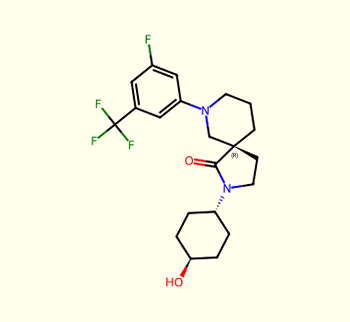 O=C1N([C@H]2CC[C@H](O)CC2)CC[C@@]12CCCN(c1cc(F)cc(C(F)(F)F)c1)C2